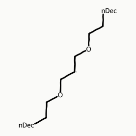 CCCCCCCCCCCCOC[CH]COCCCCCCCCCCCC